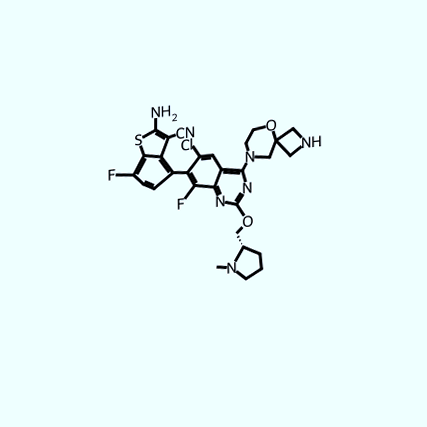 CN1CCC[C@H]1COc1nc(N2CCOC3(CNC3)C2)c2cc(Cl)c(-c3ccc(F)c4sc(N)c(C#N)c34)c(F)c2n1